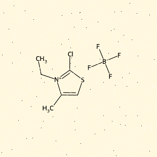 CC[n+]1c(C)csc1Cl.F[B-](F)(F)F